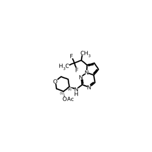 CC(=O)O[C@@H]1COCC[C@H]1Nc1ncc2ccc(C(C)C(C)(F)F)n2n1